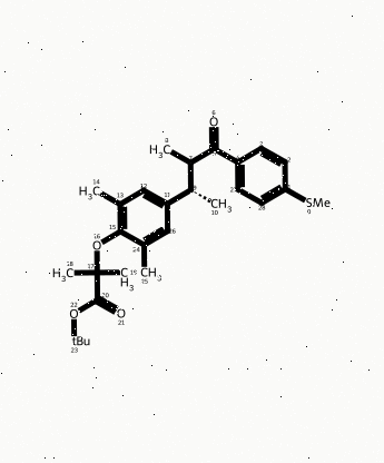 CSc1ccc(C(=O)C(C)[C@H](C)c2cc(C)c(OC(C)(C)C(=O)OC(C)(C)C)c(C)c2)cc1